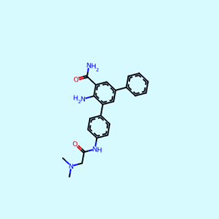 CN(C)CC(=O)Nc1ccc(-c2cc(-c3ccccc3)cc(C(N)=O)c2N)cc1